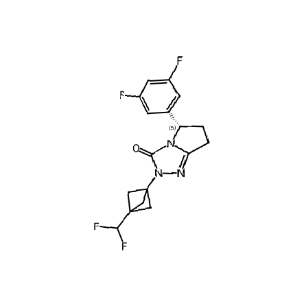 O=c1n(C23CC(C(F)F)(C2)C3)nc2n1[C@H](c1cc(F)cc(F)c1)CC2